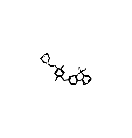 Cc1cc(/N=C/N2CCCCC2)c(C)cc1Cc1ccc(-c2ccccc2C(F)(F)F)cc1